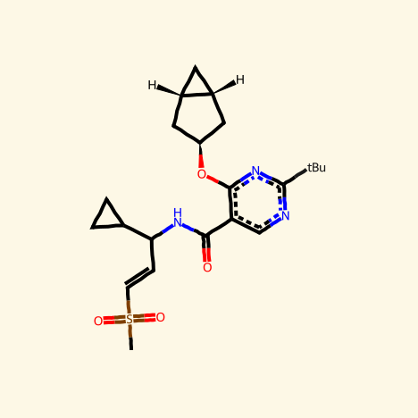 CC(C)(C)c1ncc(C(=O)NC(/C=C/S(C)(=O)=O)C2CC2)c(O[C@H]2C[C@@H]3C[C@@H]3C2)n1